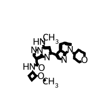 CNc1cc(-c2cnc3n(C4CCOCC4)cccc2-3)nc2c(C(=O)N[C@H]3CC[C@@H]3OC)cnn12